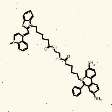 CN1C=CC(=Cc2sc3ccccc3[n+]2CCCCCC(=O)NCCNC(=O)CCCCC[n+]2c(-c3ccccc3)c3cc(N)ccc3c3ccc(N)cc32)c2ccccc21